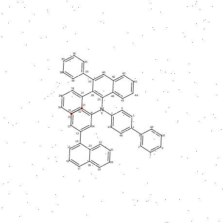 c1ccc(-c2ccc(N(c3cccc(-c4cccc5ccccc45)c3)c3c(-c4ccccc4)c(-c4ccccc4)cc4ccccc34)cc2)cc1